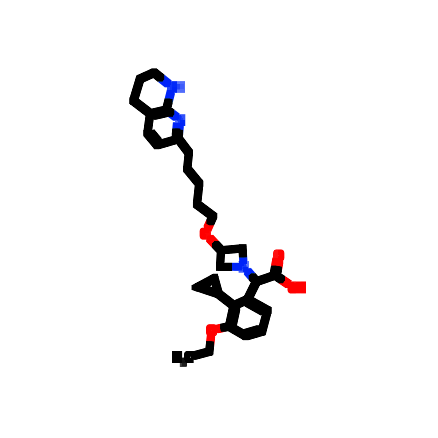 CCOc1cccc(C(C(=O)O)N2CC(OCCCCCc3ccc4c(n3)NCCC4)C2)c1C1CC1